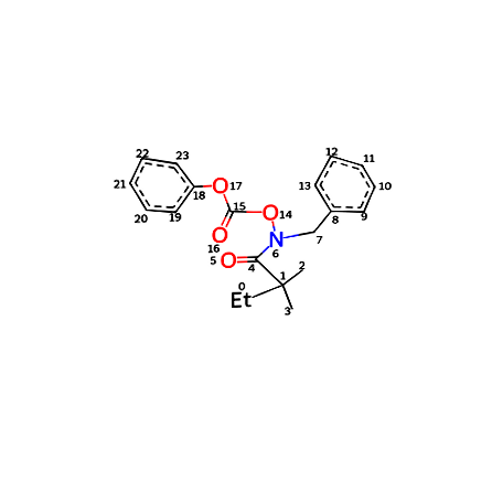 CCC(C)(C)C(=O)N(Cc1ccccc1)OC(=O)Oc1ccccc1